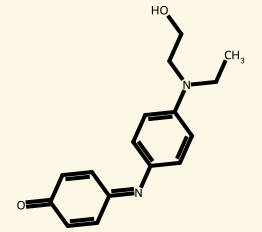 CCN(CCO)c1ccc(N=C2C=CC(=O)C=C2)cc1